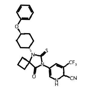 N#CC1NC=C(N2C(=O)C3(CCC3)N([C@H]3CC[C@H](Oc4ccccc4)CC3)C2=S)C=C1C(F)(F)F